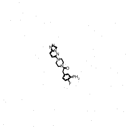 O=C(Cc1ccc(F)c(P)c1)N1CCN(c2ccc3nncn3n2)CC1